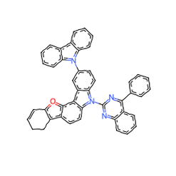 C1=Cc2oc3c(ccc4c3c3cc(-n5c6ccccc6c6ccccc65)ccc3n4-c3nc(-c4ccccc4)c4ccccc4n3)c2CC1